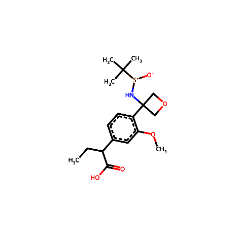 CCC(C(=O)O)c1ccc(C2(N[S+]([O-])C(C)(C)C)COC2)c(OC)c1